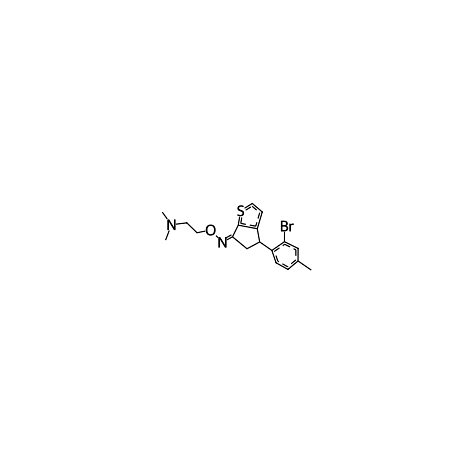 Cc1ccc(C2CC(=NOCCN(C)C)c3sccc32)c(Br)c1